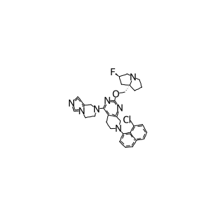 F[C@H]1CN2CCC[C@@]2(COc2nc3c(c(N4CCn5cncc5C4)n2)CCN(c2cccc4cccc(Cl)c24)C3)C1